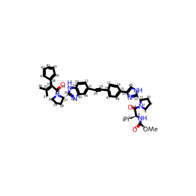 COC(=O)N[C@H](C(=O)N1CCC[C@H]1c1nc(-c2ccc(C#Cc3ccc4[nH]c([C@@H]5CCCN5C(=O)C(=C(C)C)c5ccccc5)nc4c3)cc2)c[nH]1)C(C)C